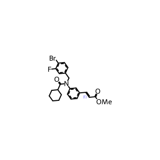 COC(=O)/C=C/c1cccc(N(Cc2ccc(Br)c(F)c2)C(=O)C2CCCCC2)c1